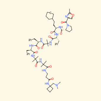 Cc1nc(C(=O)N2CCC[C@@H]2C(=O)N[C@H](CCC2CCCCC2)C(=O)N[C@H](CC(C)C)C(=O)NC(C)(C)C(=O)N[C@H](CC(C)C)C(=O)N[C@H](CC(C)C)C(=O)NC(C)(C)C(=O)NC(C)(C)C(=O)NCCC(=O)NC2(CN(C)C)CCC2)co1